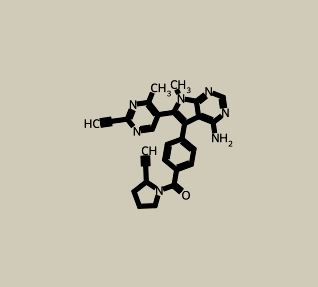 C#Cc1ncc(-c2c(-c3ccc(C(=O)N4CCCC4C#C)cc3)c3c(N)ncnc3n2C)c(C)n1